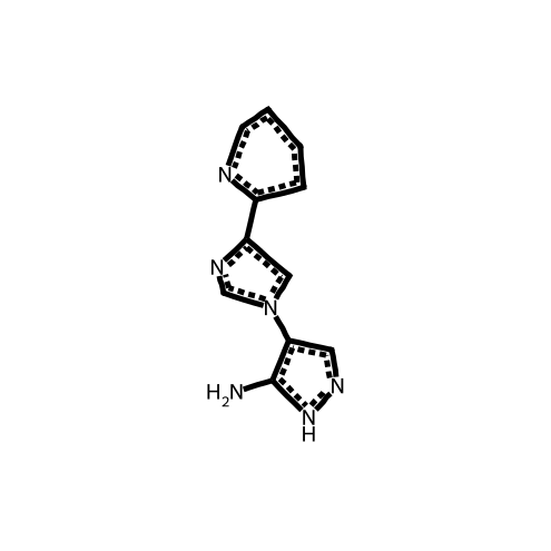 Nc1[nH]ncc1-n1cnc(-c2ccccn2)c1